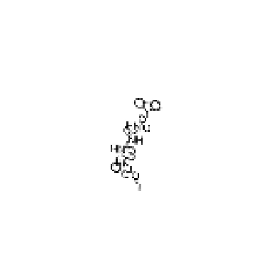 C=CCOC(=O)CNC(=O)[C@H](Cc1ccccc1)NC(=O)CNC(=O)CNC(=O)OCC1c2ccccc2-c2ccccc21